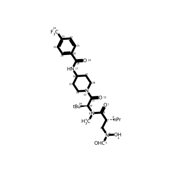 CCC[C@H](CN(O)C=O)C(=O)N(C)[C@H](C(=O)N1CCC(NC(=O)c2ccc(C(F)(F)F)cc2)CC1)C(C)(C)C